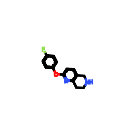 Fc1ccc(Oc2ccc3c(n2)CCNC3)cc1